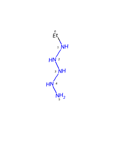 CCNNNNN